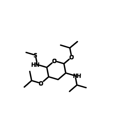 CSNC1OC(OC(C)C)C(NC(C)C)CC1OC(C)C